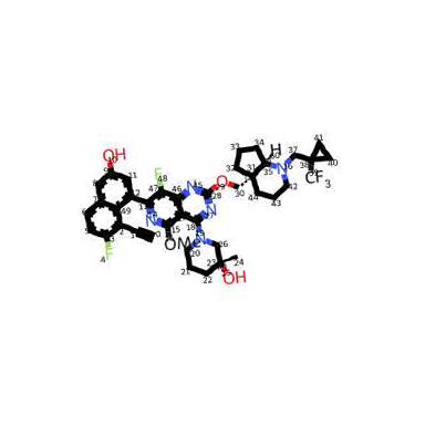 C#Cc1c(F)ccc2cc(O)cc(-c3nc(OC)c4c(N5CCC[C@@](C)(O)C5)nc(OC[C@]56CCC[C@H]5N(CC5(C(F)(F)F)CC5)CCC6)nc4c3F)c12